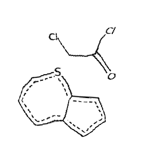 O=C(Cl)CCl.c1csc2cccc-2c1